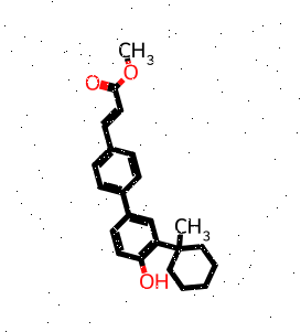 COC(=O)/C=C/c1ccc(-c2ccc(O)c(C3(C)CCCCC3)c2)cc1